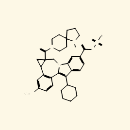 COc1ccc2c(c1)C1CC1(C(=O)N1CCC3(CCCN3C(=O)O)CC1)Cn1c-2c(C2CCCCC2)c2ccc(C(=O)NS(=O)(=O)C(C)C)cc21